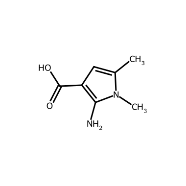 Cc1cc(C(=O)O)c(N)n1C